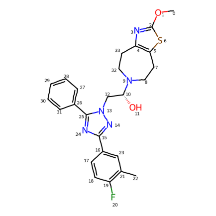 COc1nc2c(s1)CCN([C@H](O)Cn1nc(-c3ccc(F)c(C)c3)nc1-c1ccccc1)CC2